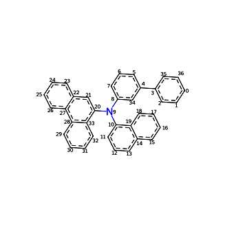 c1ccc(-c2cccc(N(c3cccc4ccccc34)c3cc4ccccc4c4ccccc34)c2)cc1